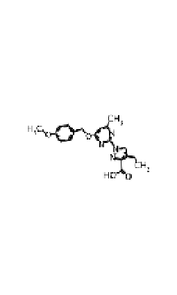 CCc1cn(-c2nc(C)cc(OCc3ccc(OC)cc3)n2)nc1C(=O)O